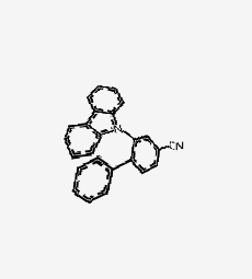 N#Cc1ccc(-c2ccccc2)c(-n2c3ccccc3c3ccccc32)c1